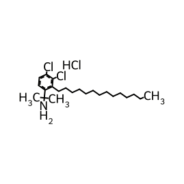 CCCCCCCCCCCCCCc1c(C(C)(C)N)ccc(Cl)c1Cl.Cl